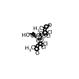 CCC12CCC(=O)C=C1c1c(cc(OC(C(=O)O)C(Oc3cc4c(c(Cl)c3Cl)C3=CC(=O)CCC3(CC)C4)C(=O)OCc3ccc(CO)o3)c(Cl)c1Cl)C2